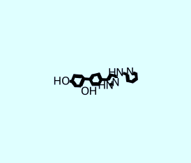 Oc1ccc(-c2ccc(-c3cc(Nc4ccccn4)n[nH]3)cc2)c(O)c1